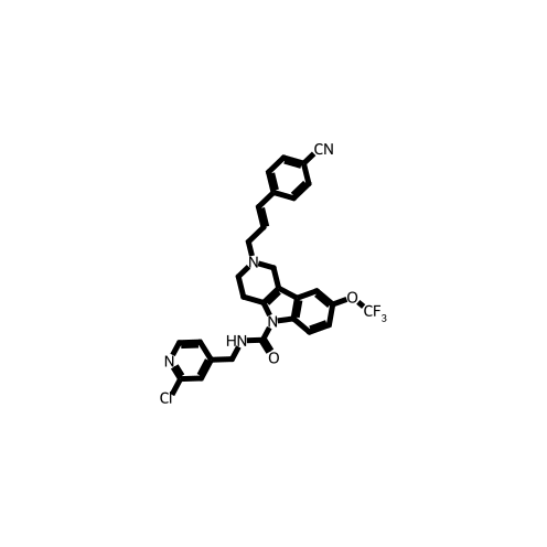 N#Cc1ccc(C=CCN2CCc3c(c4cc(OC(F)(F)F)ccc4n3C(=O)NCc3ccnc(Cl)c3)C2)cc1